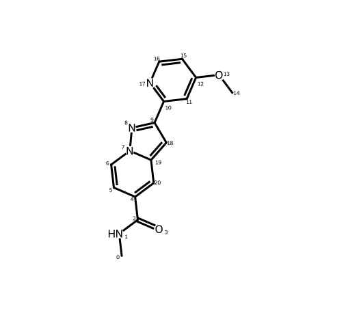 CNC(=O)c1ccn2nc(-c3cc(OC)ccn3)cc2c1